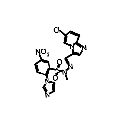 CN(N=Cc1cnc2ccc(Cl)cn12)S(=O)(=O)c1cc([N+](=O)[O-])ccc1-n1ccnc1